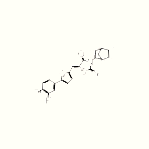 O=C1C(=Cc2ccc(-c3ccc(F)c(F)c3)o2)SC(=S)N1C1CC2CCC1C2